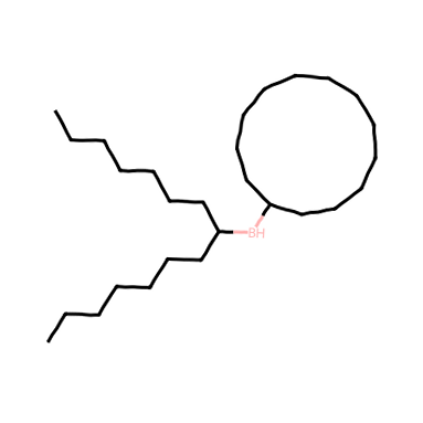 CCCCCCCC(BC1CCCCCCCCCCCC1)CCCCCCC